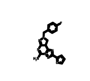 NC1=NC2=NN(Cc3ccc(F)cc3)CC2c2nc(-c3ccco3)nn21